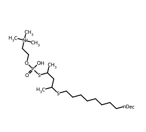 CCCCCCCCCCCCCCCCCCSC(C)CC(C)SP(=O)(O)OCC[N+](C)(C)C